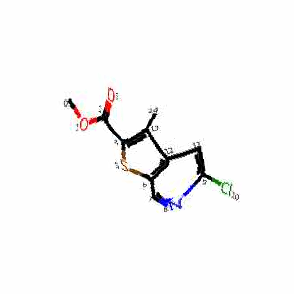 COC(=O)c1sc2cnc(Cl)cc2c1C